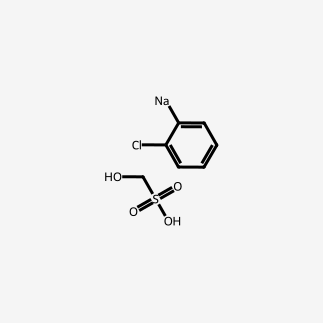 O=S(=O)(O)CO.[Na][c]1ccccc1Cl